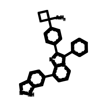 [AsH2]C1(c2ccc(-c3nc4c(-c5ccc6cn[nH]c6c5)cccn4c3-c3ccccc3)cc2)CCC1